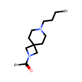 CC(C)CCCN1CCC2(CC1)CN(C(=O)C(C)C)C2